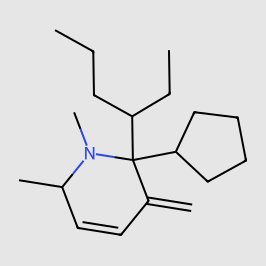 C=C1C=CC(C)N(C)C1(C(CC)CCC)C1CCCC1